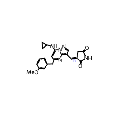 COc1cccc(Cc2cc(NC3CC3)n3ncc(/C=C4\CC(=O)NC4=O)c3n2)c1